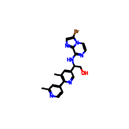 Cc1cc(-c2ncc(C(CO)Nc3nccn4c(Br)cnc34)cc2C)ccn1